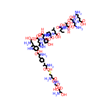 CC(C)C[C@H](N)C(=O)O.CC(C)[C@H](N)C(=O)O.CC[C@H](C)[C@H](N)C(=O)O.CSCC[C@H](N)C(=O)O.C[C@@H](O)[C@H](N)C(=O)O.NC(=O)CC[C@H](N)C(=O)O.NCC(=O)O.NCCCC[C@H](N)C(=O)O.N[C@@H](CO)C(=O)O.N[C@@H](Cc1c[nH]c2ccccc12)C(=O)O.N[C@@H](Cc1c[nH]cn1)C(=O)O.N[C@@H](Cc1ccc(O)cc1)C(=O)O.N[C@@H](Cc1ccccc1)C(=O)O.O=C(O)[C@@H]1CCCN1